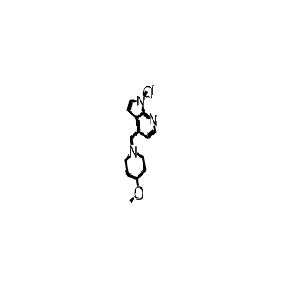 COC1CCN(Cc2ccnc3c2ccn3Cl)CC1